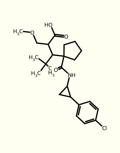 COCC(C(=O)O)C(C(C)(C)C)C1(C(=O)NC2CC2c2ccc(Cl)cc2)CCCC1